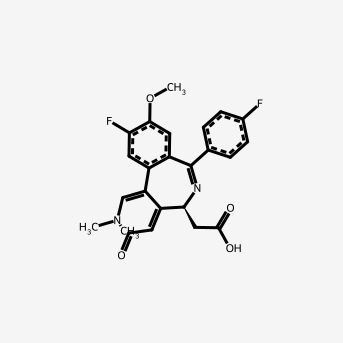 COc1cc2c(cc1F)C(=C/N(C)C)/C(=C\C=O)[C@H](CC(=O)O)N=C2c1ccc(F)cc1